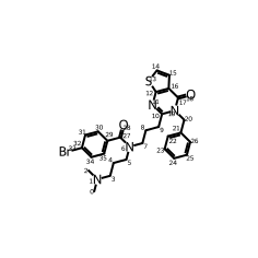 CN(C)CCCN(CCCc1nc2sccc2c(=O)n1Cc1ccccc1)C(=O)c1ccc(Br)cc1